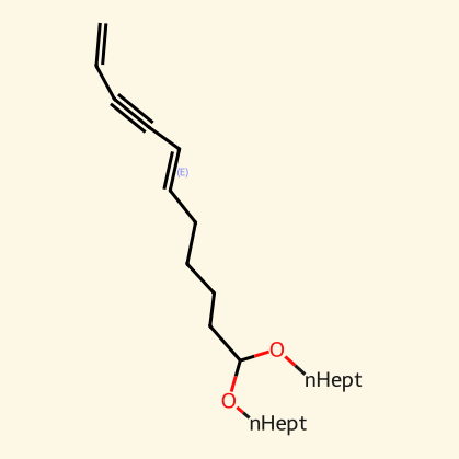 C=CC#C/C=C/CCCCC(OCCCCCCC)OCCCCCCC